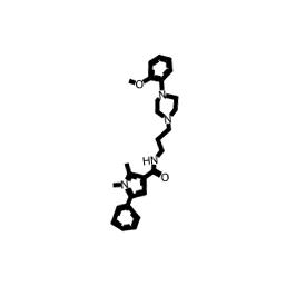 COc1ccccc1N1CCN(CCCNC(=O)c2cc(-c3ccccc3)n(C)c2C)CC1